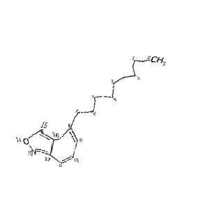 CCCCCCCCc1cccc2nocc12